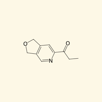 CCC(=O)c1cc2c(cn1)COC2